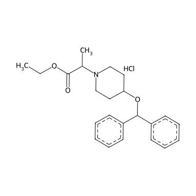 CCOC(=O)C(C)N1CCC(OC(c2ccccc2)c2ccccc2)CC1.Cl